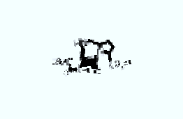 CCOC(=O)C1CCC2CNCC(NC(=O)OC(C)(C)C)C(=O)N21